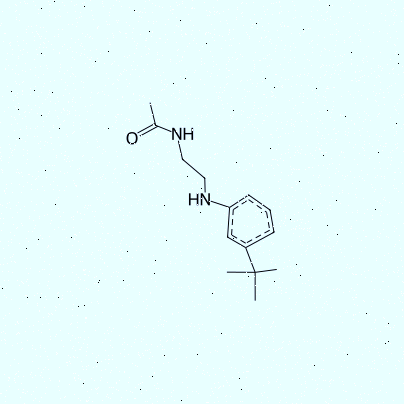 CC(=O)NCCNc1cccc(C(C)(C)C)c1